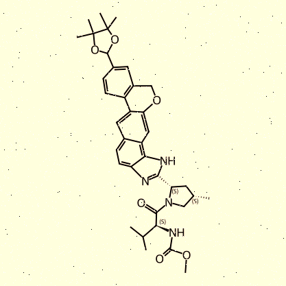 COC(=O)N[C@H](C(=O)N1C[C@@H](C)C[C@H]1c1nc2ccc3cc4c(cc3c2[nH]1)OCc1cc(C2OC(C)(C)C(C)(C)O2)ccc1-4)C(C)C